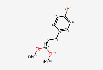 CCCO[SiH](CCc1ccc(Br)cc1)OCCC